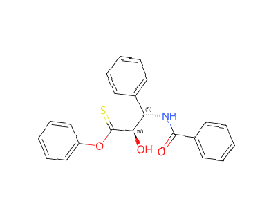 O=C(N[C@@H](c1ccccc1)[C@@H](O)C(=S)Oc1ccccc1)c1ccccc1